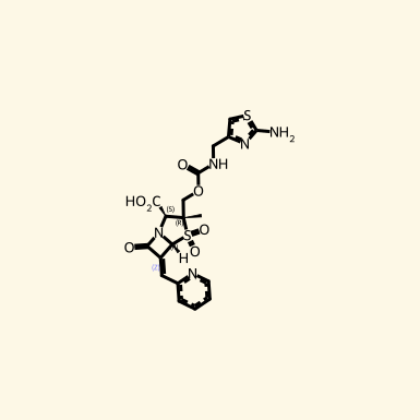 C[C@]1(COC(=O)NCc2csc(N)n2)[C@H](C(=O)O)N2C(=O)/C(=C/c3ccccn3)[C@H]2S1(=O)=O